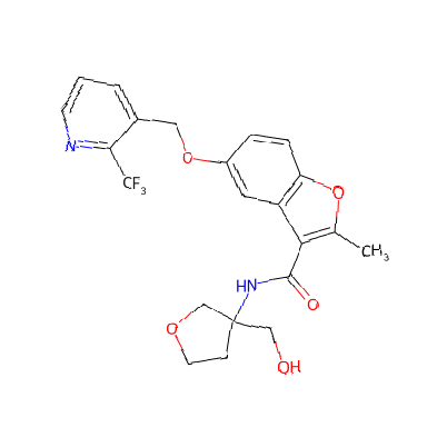 Cc1oc2ccc(OCc3cccnc3C(F)(F)F)cc2c1C(=O)NC1(CO)CCOC1